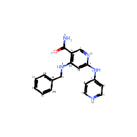 NC(=O)c1cnc(Nc2ccncc2)cc1NCc1ccccc1